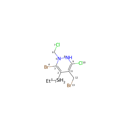 CC[SiH2]C1=C(Br)N(CCl)NC(Cl)=C1CBr